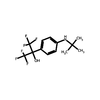 CC(C)(C)Nc1ccc(C(O)(C(F)(F)F)C(F)(F)F)cc1